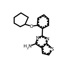 Nc1nc(-c2ccccc2OC2CCCCC2)nc2sccc12